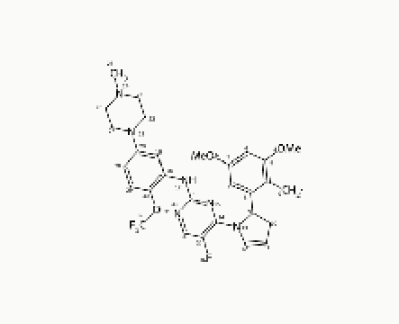 [CH2]c1c(OC)cc(OC)cc1C1CC=CN1c1nc(Nc2cc(N3CCN(C)CC3)ccc2OC(F)(F)F)ncc1F